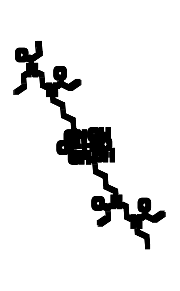 C=CC(=O)N(CCC)CCN(CCCCCCC(CCCCCCN(CCN(CCC)C(=O)C=C)C(=O)C=C)(P(=O)(O)O)P(=O)(O)O)C(=O)C=C